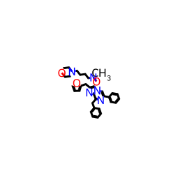 CN(CCCCN1CCOCC1)Oc1c(Cc2ccco2)nc2c(Cc3ccccc3)nc(-c3ccccc3)cn12